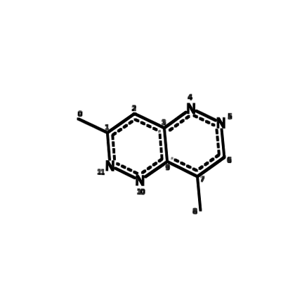 Cc1cc2nncc(C)c2nn1